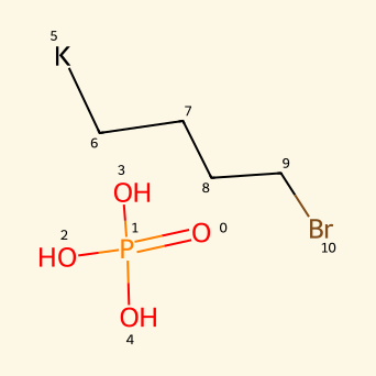 O=P(O)(O)O.[K][CH2]CCCBr